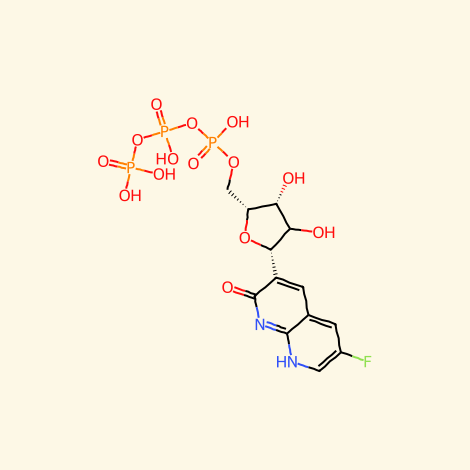 O=c1nc2[nH]cc(F)cc-2cc1[C@@H]1O[C@H](COP(=O)(O)OP(=O)(O)OP(=O)(O)O)[C@H](O)C1O